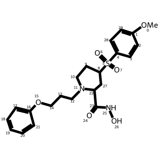 COc1ccc(S(=O)(=O)C2CCN(CCCOc3ccccc3)C(C(=O)NO)C2)cc1